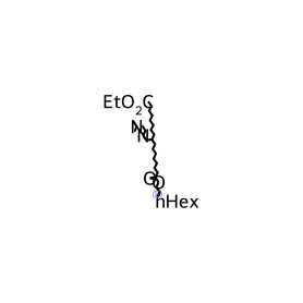 CCCCCC/C=C/COC(=O)CCCCCCCC(CCCCCCCC(=O)OCC)CN(C)CCN(C)C